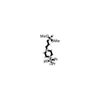 CO[Si](C)(CCCN1CCN([Si](C(C)C)(C(C)C)C(C)C)CC1)OC